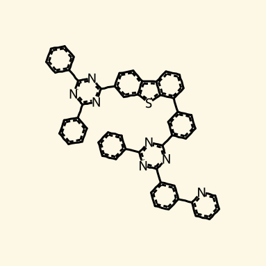 c1ccc(-c2nc(-c3cccc(-c4ccccn4)c3)nc(-c3cccc(-c4cccc5c4sc4cc(-c6nc(-c7ccccc7)nc(-c7ccccc7)n6)ccc45)c3)n2)cc1